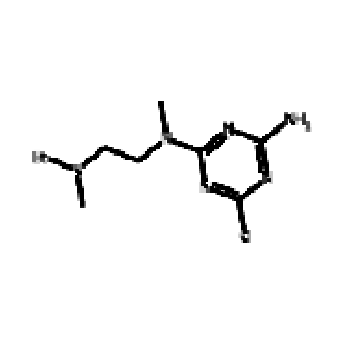 CCN(C)CCN(C)c1nc(N)nc(Cl)n1